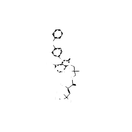 CCOC(C)(C)/C=C(\C#N)C(=O)NCC(C)(C)Cn1c(=O)n(-c2ccc(Oc3ccccc3)cc2)c2c(N)ncnc21